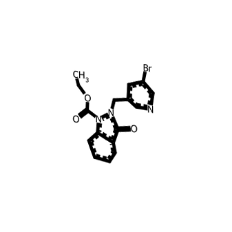 CCOC(=O)n1c2ccccc2c(=O)n1Cc1cncc(Br)c1